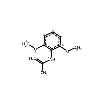 C=C(C)Nc1c(OC)cccc1OC